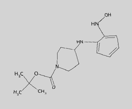 CC(C)(C)OC(=O)N1CCC(Nc2ccccc2NO)CC1